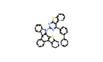 c1ccc(-c2cccc(-c3nc(-n4c5ccccc5c5c6ccccc6c6c7ccccc7sc6c54)nc4sc5ccccc5c34)c2)cc1